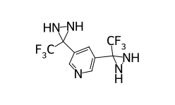 FC(F)(F)C1(c2cncc(C3(C(F)(F)F)NN3)c2)NN1